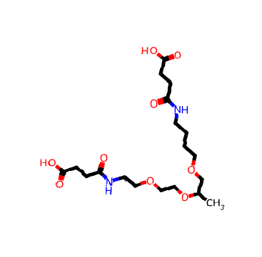 CC(COCCCCNC(=O)CCC(=O)O)OCCOCCNC(=O)CCC(=O)O